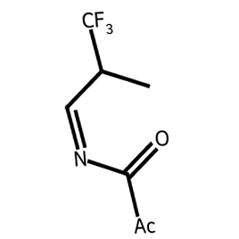 CC(=O)C(=O)/N=C\C(C)C(F)(F)F